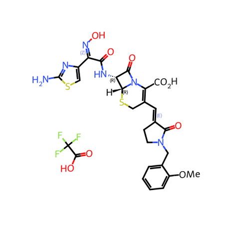 COc1ccccc1CN1CC/C(=C\C2=C(C(=O)O)N3C(=O)[C@@H](NC(=O)/C(=N\O)c4csc(N)n4)[C@H]3SC2)C1=O.O=C(O)C(F)(F)F